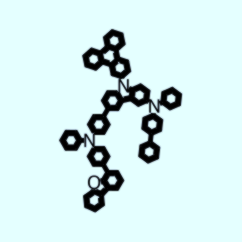 c1ccc(-c2ccc(N(c3ccccc3)c3ccc4c(c3)c3cc(-c5ccc(N(c6ccccc6)c6ccc(-c7cccc8c7oc7ccccc78)cc6)cc5)ccc3n4-c3ccc4c5ccccc5c5ccccc5c4c3)cc2)cc1